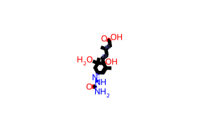 CC1=C/C(=N\NC(N)=O)CC(C)(C)C1(O)/C=C/C(C)=C/C(=O)O.O